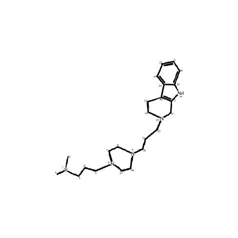 CN(C)CCCN1CCN(CCCN2CCc3c([nH]c4ccccc34)C2)CC1